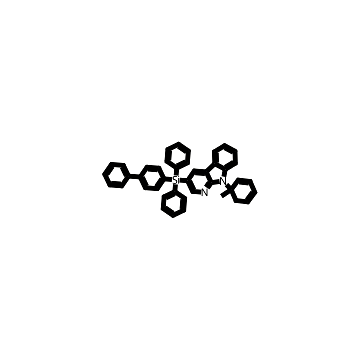 CC1(n2c3ccccc3c3cc([Si](c4ccccc4)(c4ccccc4)c4ccc(-c5ccccc5)cc4)cnc32)C=CC=CC1